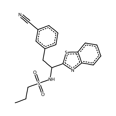 CCCS(=O)(=O)NC(Cc1cccc(C#N)c1)c1nc2ccccc2s1